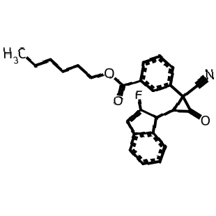 CCCCCCOC(=O)c1cccc(C2(C#N)C(=O)C2C2C(F)=Cc3ccccc32)c1